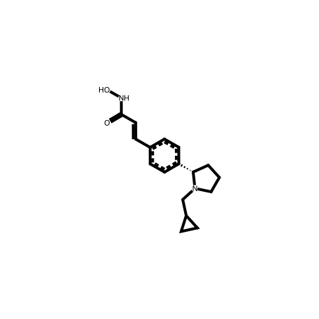 O=C(C=Cc1ccc([C@@H]2CCCN2CC2CC2)cc1)NO